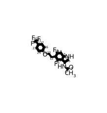 CC(=O)Nc1c[nH]c2cc(F)c(CCOc3ccc(C(F)(F)F)cc3)c(F)c12